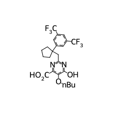 CCCCOc1c(O)nc(CC2(c3cc(C(F)(F)F)cc(C(F)(F)F)c3)CCCC2)nc1C(=O)O